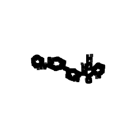 O=C(Nc1cc(-c2ccnc(Nc3ccccc3)c2)ccn1)c1ncccc1O